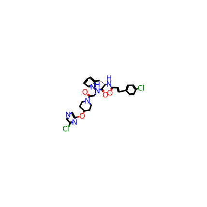 O=C(C=Cc1ccc(Cl)cc1)N[C@@H](Cc1ccccn1)C(=O)NCC(=O)N1CCC(Oc2cncc(Cl)n2)CC1